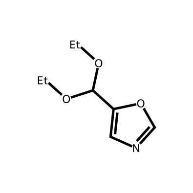 CCOC(OCC)c1cnco1